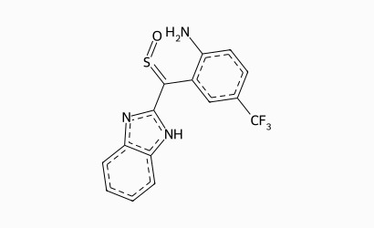 Nc1ccc(C(F)(F)F)cc1C(=S=O)c1nc2ccccc2[nH]1